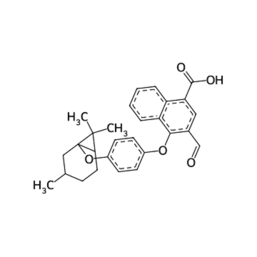 CC1CCC2C(C)(C)C2(Oc2ccc(Oc3c(C=O)cc(C(=O)O)c4ccccc34)cc2)C1